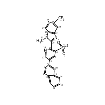 CCS(=O)(=O)c1cc(-c2ccc3ccccc3n2)cnc1-c1nc2cc(C(F)(F)F)ncc2n1C